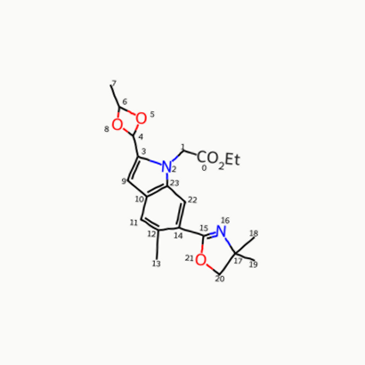 CCOC(=O)Cn1c(C2OC(C)O2)cc2cc(C)c(C3=NC(C)(C)CO3)cc21